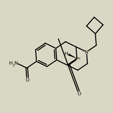 NC(=O)c1ccc2c(c1)C13CCN(CC4CCC4)C(C2)[C@@H]1CCC(=O)C3